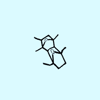 CC1CC2(C)OC1(C)C1C2C2(C)CCC1(C)O2